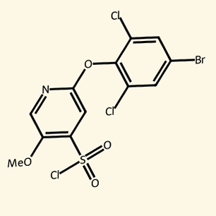 COc1cnc(Oc2c(Cl)cc(Br)cc2Cl)cc1S(=O)(=O)Cl